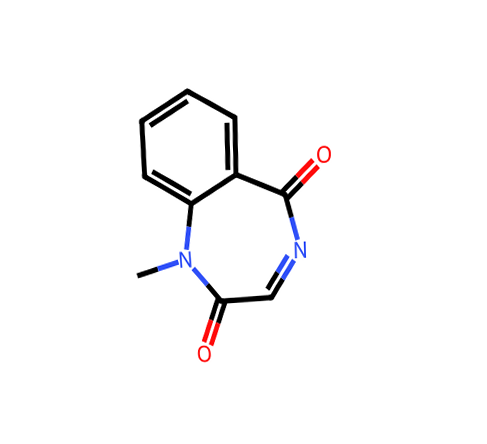 Cn1c(=O)cnc(=O)c2ccccc21